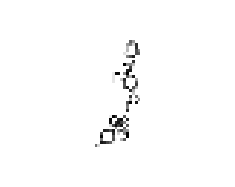 Cc1ccc(S(=O)(=O)OCCCOc2ccc(OCc3ccccc3)c(F)c2)cc1